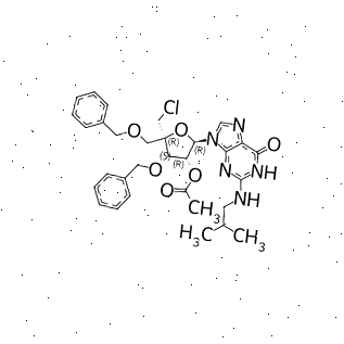 CC(=O)O[C@H]1[C@H](n2cnc3c(=O)[nH]c(NCC(C)C)nc32)O[C@](CCl)(COCc2ccccc2)[C@H]1OCc1ccccc1